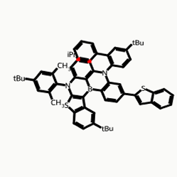 Cc1cc(C(C)(C)C)cc(C)c1N1c2cc(C(C)C)cc3c2B(c2ccc(-c4cc5ccccc5s4)cc2N3c2ccc(C(C)(C)C)cc2-c2ccccc2)c2c1sc1ccc(C(C)(C)C)cc21